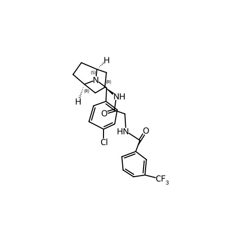 O=C(CNC(=O)c1cccc(C(F)(F)F)c1)N[C@H]1C[C@H]2CC[C@@H](C1)N2Cc1ccc(Cl)cc1